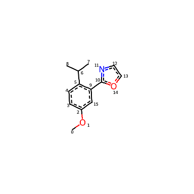 COc1ccc(C(C)C)c(-c2ncco2)c1